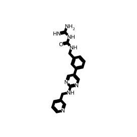 N=C(N)NC(=O)NCc1cccc(-c2cnc(NCc3cccnc3)nc2)c1